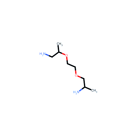 CC(N)COCCOC(C)CN